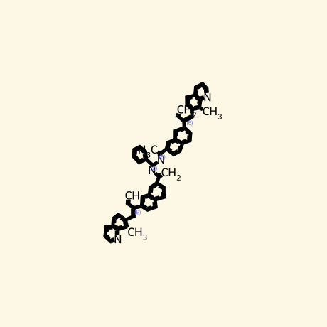 C=C/C(=C\c1ccc2cccnc2c1C)c1ccc2ccc(C(=C)/N=C(\N=C(/C)c3ccc4ccc(/C(C=C)=C/c5ccc6cccnc6c5C)cc4c3)c3ccccc3)cc2c1